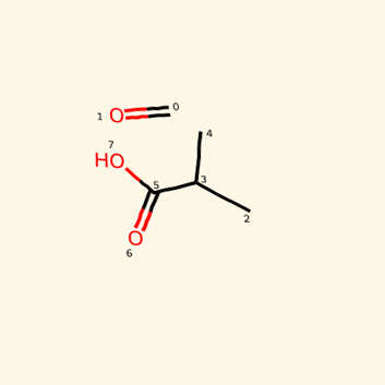 C=O.CC(C)C(=O)O